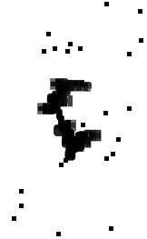 COP(O)OOCOP(=O)(O)OCC(CO)CCCCNC(=O)C1CCC(c2c3ccc(=O)cc-3oc3cc(O)ccc23)C(C(=O)O)C1